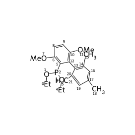 CCOP(OCC)c1c(OC)ccc(OC)c1-c1c(C)cc(C)cc1C